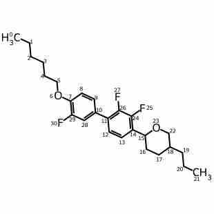 CCCCCCOc1ccc(-c2ccc(C3CCC(CCC)CO3)c(F)c2F)cc1F